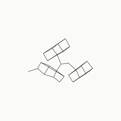 CC1C2C3CC4C1C2C34C(CC12C3C4C5C3C1C5C42)C12C3C4C5C3C1C5C42